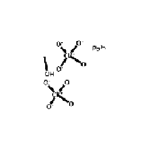 CO.[O-][Cl+3]([O-])([O-])[O-].[O-][Cl+3]([O-])([O-])[O-].[Pb+2]